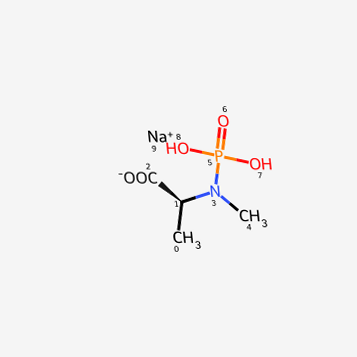 C[C@@H](C(=O)[O-])N(C)P(=O)(O)O.[Na+]